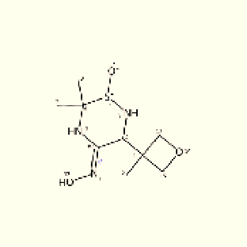 CC1(C2N[S+]([O-])C(C)(C)N/C2=N\O)COC1